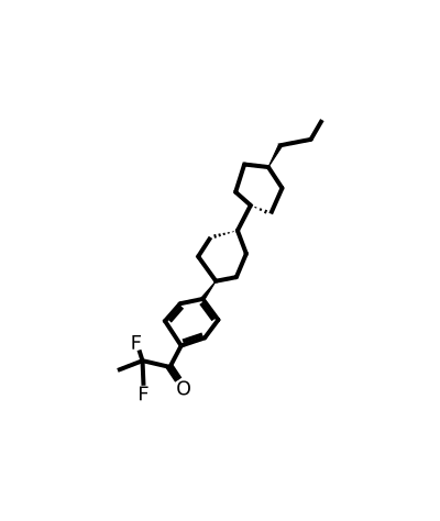 CCC[C@H]1CC[C@H]([C@H]2CC[C@H](c3ccc(C(=O)C(C)(F)F)cc3)CC2)CC1